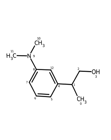 CC(CO)c1cccc(N(C)C)c1